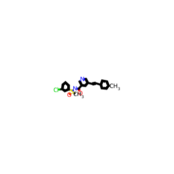 Cc1ccc(C#Cc2cncc(C(=O)N=S(C)(=O)c3cccc(Cl)c3)c2)cc1